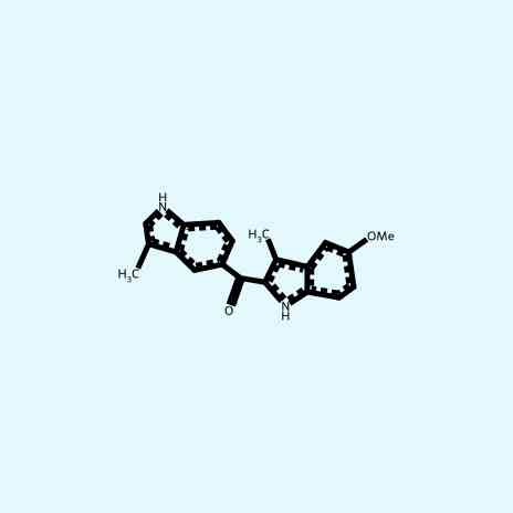 COc1ccc2[nH]c(C(=O)c3ccc4[nH]cc(C)c4c3)c(C)c2c1